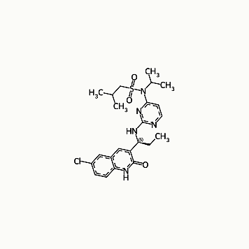 CC[C@H](Nc1nccc(N(C(C)C)S(=O)(=O)CC(C)C)n1)c1cc2cc(Cl)ccc2[nH]c1=O